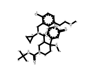 COCCc1ccc(Cl)c(CN(C(=O)C2CN(C(=O)OC(C)(C)C)CCC2(OC)c2cc[nH]c(=O)c2)C2CC2)c1